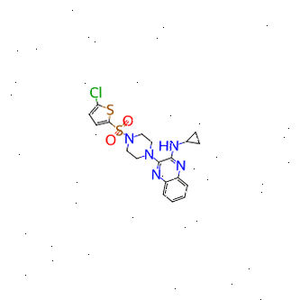 O=S(=O)(c1ccc(Cl)s1)N1CCN(c2nc3ccccc3nc2NC2CC2)CC1